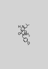 COc1ccc(C[C@H](N)C(=O)N(C)C(=O)[C@@H](N)CC(C)C)cc1